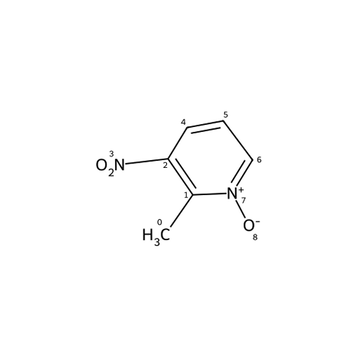 Cc1c([N+](=O)[O-])ccc[n+]1[O-]